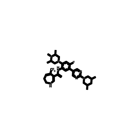 C=C(Nc1cc(-c2cnc(N3CC(C)CC(C)C3)nc2)c(F)cc1N1CC(C)N(C)C(C)C1)C1=CNCCC=C1C(F)(F)F